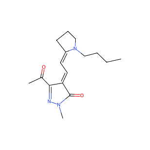 CCCCN1CCC/C1=C/C=C1/C(=O)N(C)N=C1C(C)=O